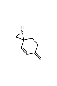 C=C1C=CC2(CC1)CN2